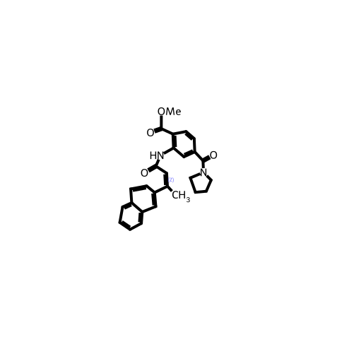 COC(=O)c1ccc(C(=O)N2CCCC2)cc1NC(=O)/C=C(/C)c1ccc2ccccc2c1